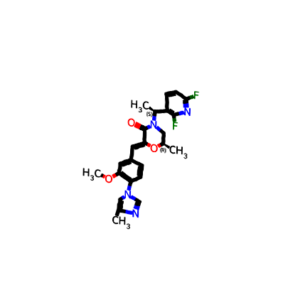 COc1cc(C=C2O[C@H](C)CN([C@@H](C)c3ccc(F)nc3F)C2=O)ccc1-n1cnc(C)c1